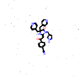 N#Cc1ccc(C(=O)C=C2NC(Cc3ccncc3)(Cc3ccncc3)C(=O)N2CC2CCNC2)cc1